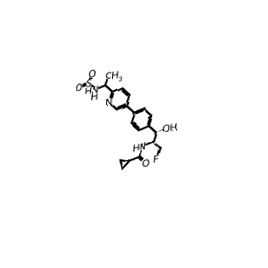 CC(N[SH](=O)=O)c1ccc(-c2ccc([C@H](O)[C@@H](CF)NC(=O)C3CC3)cc2)cn1